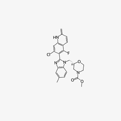 C=C1C=Cc2c(cc(Cl)c(-c3nc4cc(C)ccc4n3C[C@H]3CN(C(=O)OC)CCO3)c2F)N1